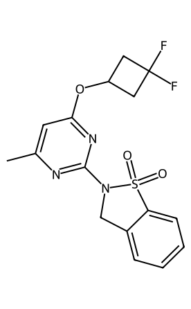 Cc1cc(OC2CC(F)(F)C2)nc(N2Cc3ccccc3S2(=O)=O)n1